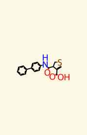 O=C(O)C1=CSCC1C(=O)Nc1ccc(-c2ccccc2)cc1